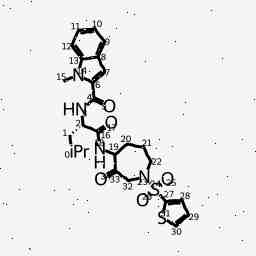 CC(C)C[C@H](NC(=O)c1cc2ccccc2n1C)C(=O)NC1CCCN(S(=O)(=O)c2cccs2)CC1=O